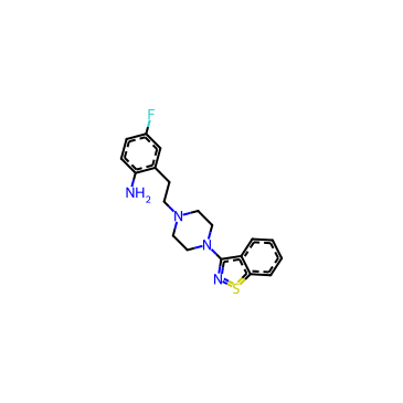 Nc1ccc(F)cc1CCN1CCN(c2nsc3ccccc23)CC1